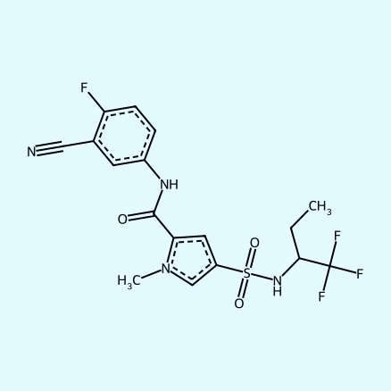 CCC(NS(=O)(=O)c1cc(C(=O)Nc2ccc(F)c(C#N)c2)n(C)c1)C(F)(F)F